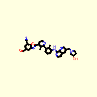 Cc1c(Nc2nccc3cc(CN4CC[C@@H](O)C4)cnc23)cccc1-c1nccc(-c2nc3cc(C=O)cc(C#N)c3o2)c1C